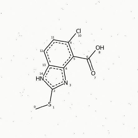 CSc1nc2c(C(=O)O)c(Cl)ccc2[nH]1